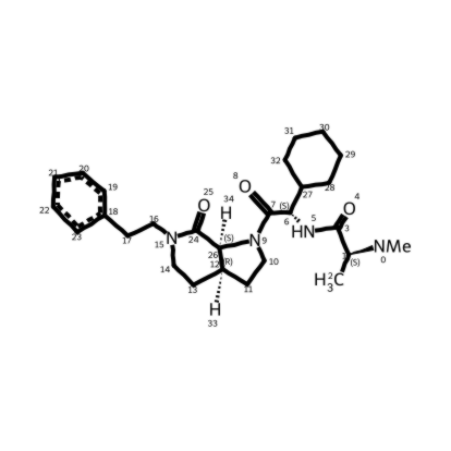 CN[C@@H](C)C(=O)N[C@H](C(=O)N1CC[C@H]2CCN(CCc3ccccc3)C(=O)[C@H]21)C1CCCCC1